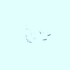 CC1(C)OC2[C@@H](CO)O[C@@H](n3ncc(=O)[nH]c3=O)[C@H]2O1